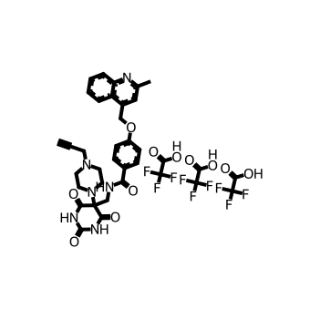 C#CCN1CCN(C2(CNC(=O)c3ccc(OCc4cc(C)nc5ccccc45)cc3)C(=O)NC(=O)NC2=O)CC1.O=C(O)C(F)(F)F.O=C(O)C(F)(F)F.O=C(O)C(F)(F)F